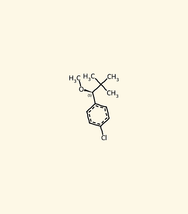 CO[C@H](c1ccc(Cl)cc1)C(C)(C)C